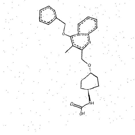 Cc1c(CO[C@H]2CC[C@H](NC(=O)O)CC2)nc2ccccc2c1OCc1ccccc1